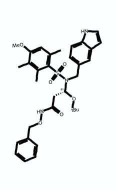 COc1cc(C)c(S(=O)(=O)N(Cc2ccc3[nH]ccc3c2)[C@@H](CC(=O)NOCc2ccccc2)OC(C)(C)C)c(C)c1C